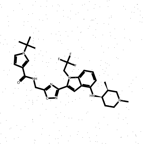 C[C@H]1CN(C)CC[C@H]1Nc1cccc2c1cc(-c1noc(CNC(=O)c3ccn(C(C)(C)C)c3)n1)n2CC(F)(F)F